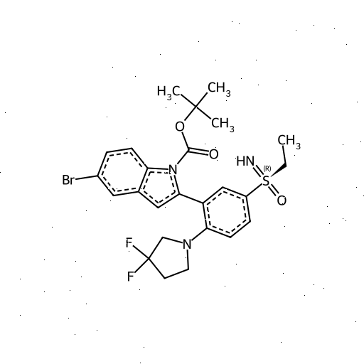 CC[S@@](=N)(=O)c1ccc(N2CCC(F)(F)C2)c(-c2cc3cc(Br)ccc3n2C(=O)OC(C)(C)C)c1